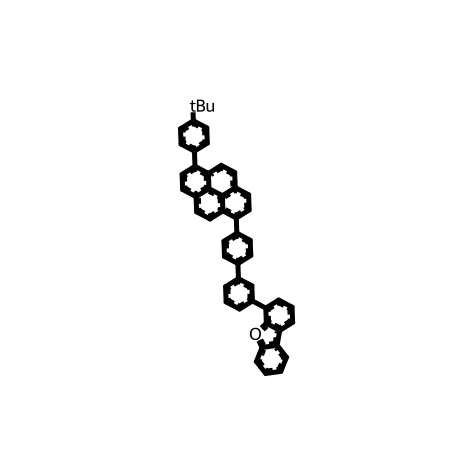 CC(C)(C)c1ccc(-c2ccc3ccc4c(-c5ccc(-c6cccc(-c7cccc8c7oc7ccccc78)c6)cc5)ccc5ccc2c3c54)cc1